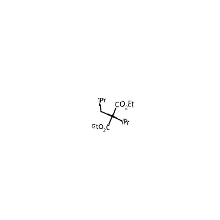 CCOC(=O)C(CC(C)C)(C(=O)OCC)C(C)C